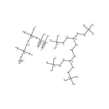 CC#N.CC#N.CC(C)(C)CCP(CCCP(CCC(C)(C)C)CCC(C)(C)C)CCC(C)(C)C.F[B-](F)(F)F.F[B-](F)(F)F.[Pd+2]